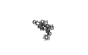 C[C@]12C=CC(=O)C=C1CC[C@H]1[C@@H]3C[C@@H](OCC(=O)c4ccccc4)[C@](O)(C(=O)CCl)[C@@]3(C)C[C@H](O)C12F